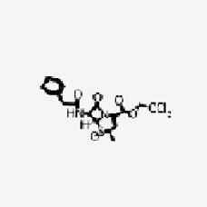 CC1C=C(C(=O)OCC(Cl)(Cl)Cl)N2C(=O)C(NC(=O)Cc3ccccc3)[C@@H]2[S+]1[O-]